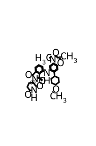 CCOC1CCC(c2cc3c(cc2Nc2cccc4c2C(=O)N([C@H]2CCC(=O)NC2=O)C4=O)N(C)C(=O)[C@@H](C)O3)CC1